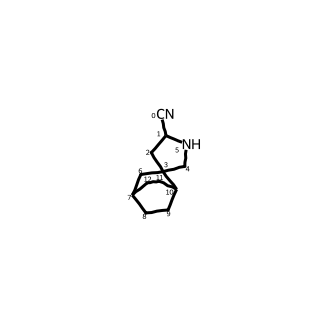 N#CC1CC2(CN1)CC1CCC2CC1